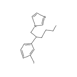 CCCCC(Cn1ccnc1)c1cccc(I)c1